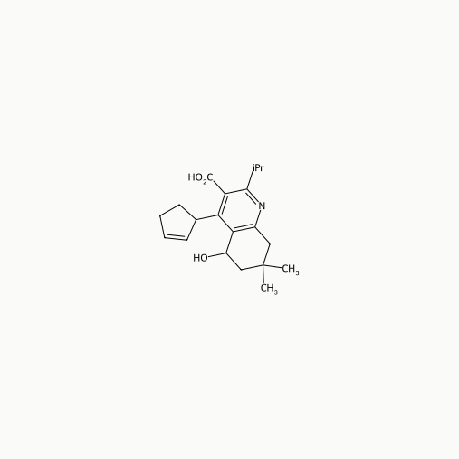 CC(C)c1nc2c(c(C3C=CCC3)c1C(=O)O)C(O)CC(C)(C)C2